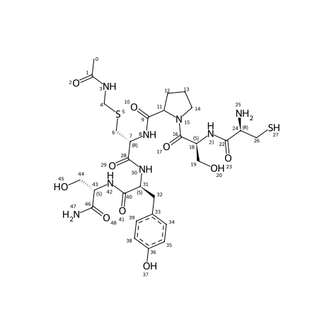 CC(=O)NCSC[C@H](NC(=O)C1CCCN1C(=O)[C@H](CO)NC(=O)[C@@H](N)CS)C(=O)N[C@@H](Cc1ccc(O)cc1)C(=O)N[C@@H](CO)C(N)=O